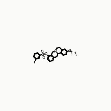 COc1ccc2c(c1)CCN1Cc3c(cccc3OS(=O)(=O)c3cccc(F)c3)CC21